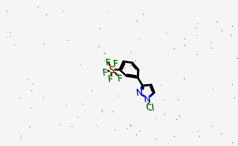 FS(F)(F)(F)(F)c1cccc(-c2ccn(Cl)n2)c1